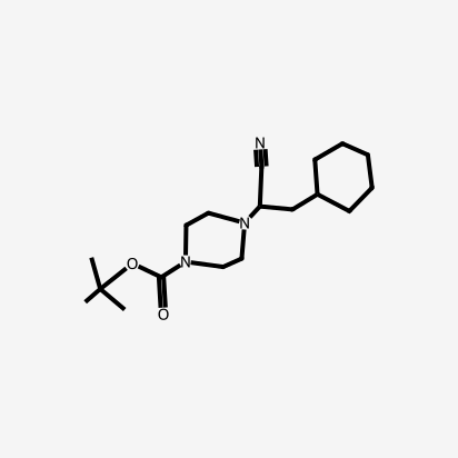 CC(C)(C)OC(=O)N1CCN(C(C#N)CC2CCCCC2)CC1